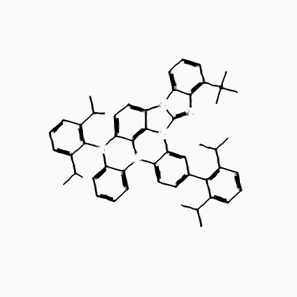 CC(C)c1cccc(C(C)C)c1-c1ccc2c(c1)-n1c3c4c(ccc3n3c5cccc(C(C)(C)C)c5nc13)N(c1c(C(C)C)cccc1C(C)C)c1ccccc1B24